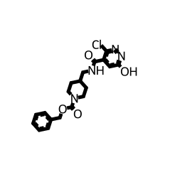 O=C(NCC1CCN(C(=O)OCc2ccccc2)CC1)c1cc(O)nnc1Cl